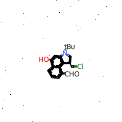 CC(C)(C)N1C[C@@H](CCl)c2c1cc(O)c1cccc(C=O)c21